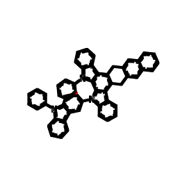 c1ccc(-n2c3ccccc3c3cc(-n4c5ccccc5c5c6c(c7c8ccccc8n(-c8ccccc8)c7c54)Cc4cc5ccccc5cc4C6)ccc32)cc1